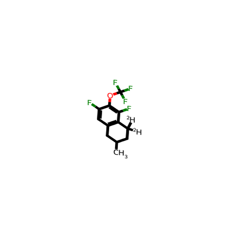 [2H]C1([2H])CC(C)Cc2cc(F)c(OC(F)(F)F)c(F)c21